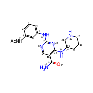 CC(=O)Nc1cccc(Nc2ncc(C(N)=O)c(N[C@@H]3CCCNC3)n2)c1